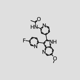 COc1cnc2c(-c3ccc(F)cn3)c(-c3ccnc(NC(C)=O)c3)[nH]c2c1